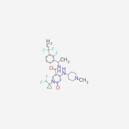 CC(NC(=O)c1cn(C2(C(F)F)CC2)c(=O)cc1NC1CCN(C)CC1)c1cccc(C(C)(F)F)c1F